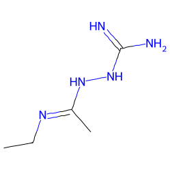 CC/N=C(\C)NNC(=N)N